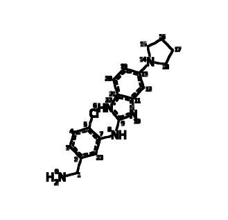 NCc1ccc(Cl)c(Nc2nc3cc(N4CCCC4)ccc3[nH]2)c1